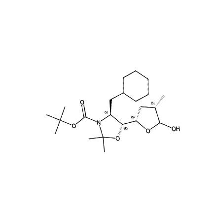 C[C@H]1C[C@@H]([C@@H]2OC(C)(C)N(C(=O)OC(C)(C)C)[C@H]2CC2CCCCC2)OC1O